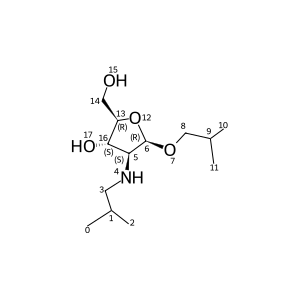 CC(C)CN[C@@H]1[C@H](OCC(C)C)O[C@H](CO)[C@H]1O